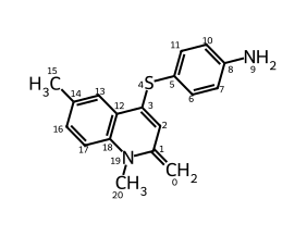 C=C1C=C(Sc2ccc(N)cc2)c2cc(C)ccc2N1C